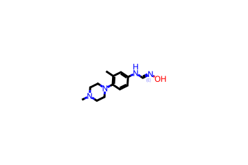 Cc1cc(N/C=N/O)ccc1N1CCN(C)CC1